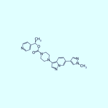 C[C@@H](OC(=O)N1CCN(c2cnn3cc(-c4cnn(C)c4)ccc23)CC1)c1ccncc1